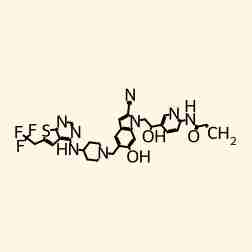 C=CC(=O)Nc1ccc(C(O)Cn2c(C#N)cc3cc(CN4CCC(Nc5ncnc6sc(CC(F)(F)F)cc56)CC4)c(O)cc32)cn1